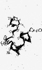 Cc1c(Cc2ccc(C=O)cc2)sc(NC(=O)OCCN2CCOCC2)c1C#N